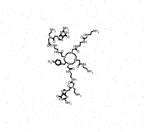 NCCNCC(=O)NCCNC(=O)CN1CCN(CC(=O)NCCN)CCN(CC(=O)NCCNC(=O)CN(CCN)C(=O)Cn2cnc3c(=O)[nH]c(N)nc32)C(Cc2ccc(N)cc2)CN(CC(=O)NCCN[C@@H]2OC2CN(CCN)C(=O)Cn2cnc3c(=O)[nH]c(N)nc32)CC1